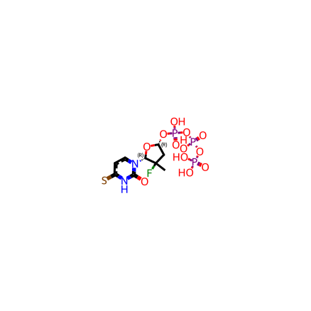 CC1(F)C[C@@H](OP(=O)(O)OP(=O)(O)OP(=O)(O)O)O[C@H]1n1ccc(=S)[nH]c1=O